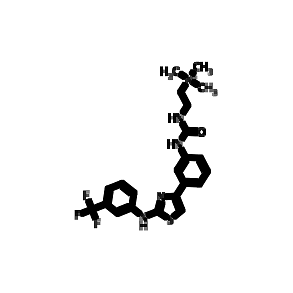 C[N+](C)(C)CCNC(=O)Nc1cccc(-c2csc(Nc3cccc(C(F)(F)F)c3)n2)c1